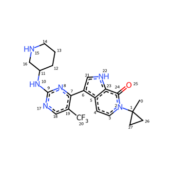 CC1(n2ccc3c(-c4nc(NC5CCCNC5)ncc4C(F)(F)F)c[nH]c3c2=O)CC1